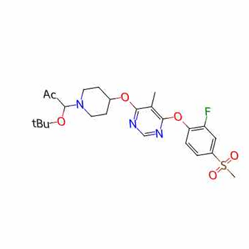 CC(=O)C(OC(C)(C)C)N1CCC(Oc2ncnc(Oc3ccc(S(C)(=O)=O)cc3F)c2C)CC1